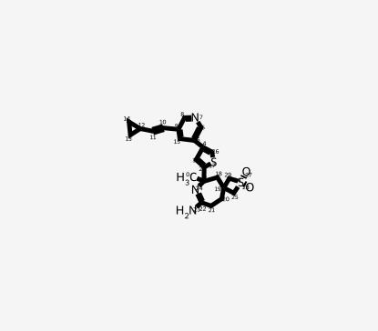 CC1(c2cc(-c3cncc(C#CC4CC4)c3)cs2)CC2(CCC(N)=N1)CS(=O)(=O)C2